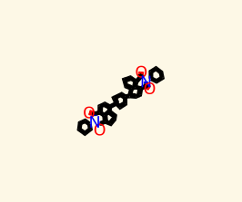 O=C1c2cccc3c(-c4ccc(-c5ccc6c7c(cccc57)C(=O)N(C5CCCCC5)C6=O)cc4)ccc(c23)C(=O)N1C1CCCCC1